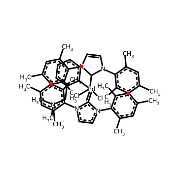 Cc1cc(C)c(N2C=CN(c3c(C)cc(C)cc3C)[CH]2[Pd]([Cl])([Cl])([c]2ccccc2CN(C)C)=[c]2n(-c3c(C)cc(C)cc3C)ccn2-c2c(C)cc(C)cc2C)c(C)c1